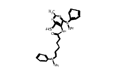 CCCN(CCCCCC(=O)Nc1c(S)nc(C)nc1N(CCC)c1ccccc1)c1ccccc1